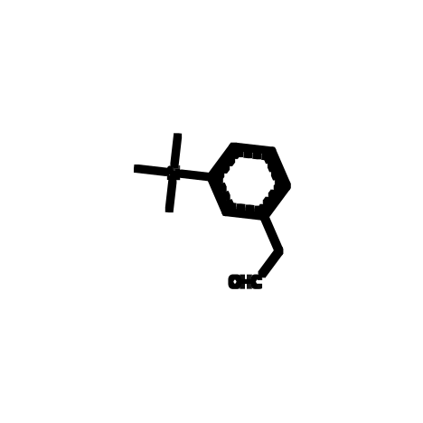 C[Si](C)(C)c1cccc(CC=O)c1